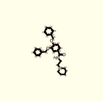 O=C(NCCN1CCCCC1)c1ccc(OCc2ccccc2)c(OCc2ccccc2)c1